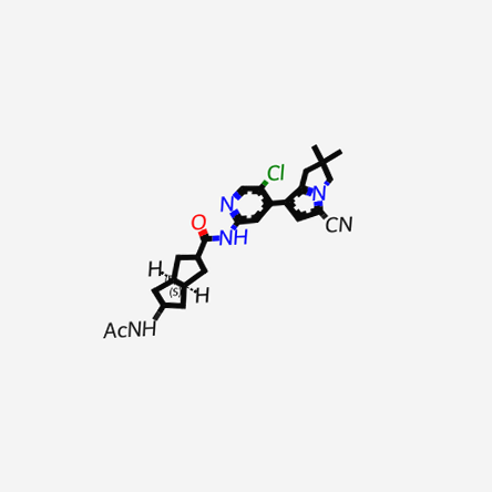 CC(=O)NC1C[C@@H]2CC(C(=O)Nc3cc(-c4cc(C#N)n5c4CC(C)(C)C5)c(Cl)cn3)C[C@@H]2C1